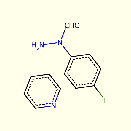 NN(C=O)c1ccc(F)cc1.c1ccncc1